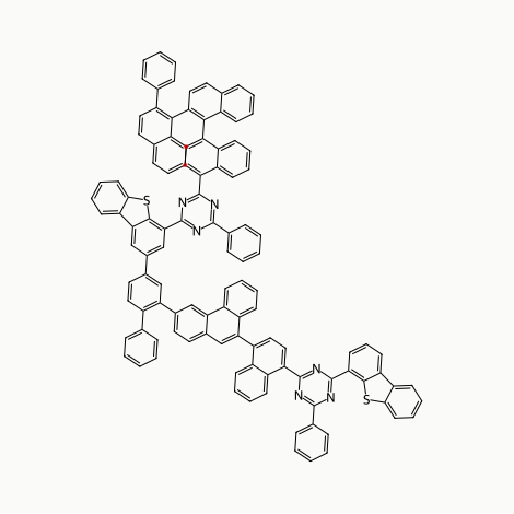 c1ccc(-c2nc(-c3ccc(-c4c(-c5c(-c6ccccc6)ccc6ccccc56)ccc5ccccc45)c4ccccc34)nc(-c3cc(-c4ccc(-c5ccccc5)c(-c5ccc6cc(-c7ccc(-c8nc(-c9ccccc9)nc(-c9cccc%10c9sc9ccccc9%10)n8)c8ccccc78)c7ccccc7c6c5)c4)cc4c3sc3ccccc34)n2)cc1